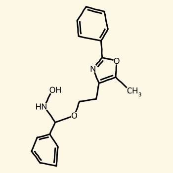 Cc1oc(-c2ccccc2)nc1CCOC(NO)c1ccccc1